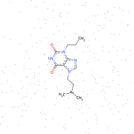 CCCn1c(=O)[nH]c(=O)c2c1ncn2CC[As](C)C